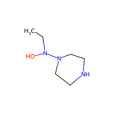 CCN(O)N1CCNCC1